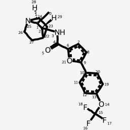 C[C@H]1[C@H](NC(=O)c2ccc(-c3ccc(OC(F)(F)F)cc3)o2)C2CCN1CC2